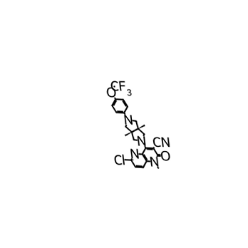 Cn1c(=O)c(C#N)c(N2C[C@]3(C)CN(c4ccc(OC(F)(F)F)cc4)C[C@]3(C)C2)c2nc(Cl)ccc21